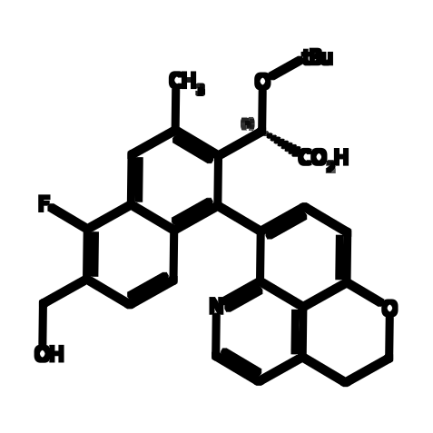 Cc1cc2c(F)c(CO)ccc2c(-c2ccc3c4c(ccnc24)CCO3)c1[C@H](OC(C)(C)C)C(=O)O